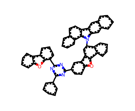 c1ccc(-c2nc(-c3ccc4oc5c6ccccc6c(-n6c7cc8ccccc8cc7c7ccc8ccccc8c76)cc5c4c3)nc(-c3cccc4c3oc3ccccc34)n2)cc1